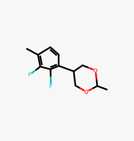 Cc1ccc(C2COC(C)OC2)c(F)c1F